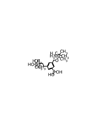 CC(C)(CCc1cc(CO[Si](C)(C)C(C)(C)C)cc(B(O)O)c1)[Si](C)(C)O